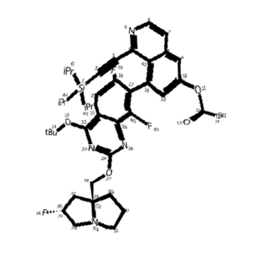 CC(C)[Si](C#Cc1nccc2cc(OC(=O)C(C)(C)C)cc(-c3c(F)cc4c(OC(C)(C)C)nc(OC[C@@]56CCCN5C[C@H](F)C6)nc4c3F)c12)(C(C)C)C(C)C